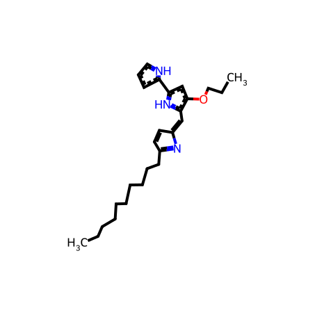 CCCCCCCCCCC1=N/C(=C/c2[nH]c(-c3ccc[nH]3)cc2OCCC)C=C1